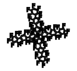 Fc1c(F)c(F)c(-c2c(F)c(F)c(-c3c(F)c(F)c([B-](c4c(F)c(F)c(-c5c(F)c(F)c(-c6c(F)c(F)c(F)c(F)c6F)c(F)c5F)c(F)c4F)(c4c(F)c(F)c(-c5c(F)c(F)c(-c6c(F)c(F)c(F)c(F)c6F)c(F)c5F)c(F)c4F)c4c(F)c(F)c(-c5c(F)c(F)c(-c6c(F)c(F)c(F)c(F)c6F)c(F)c5F)c(F)c4F)c(F)c3F)c(F)c2F)c(F)c1F